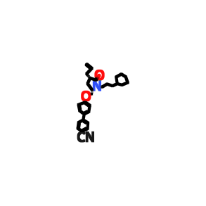 C=CC[C@@H]1C[C@@H](COc2ccc(-c3ccc(C#N)cc3)cc2)N(CCCC2CCCCC2)C1=O